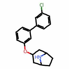 Clc1cccc(-c2cccc(OC3CC4CCC(C3)N4)c2)c1